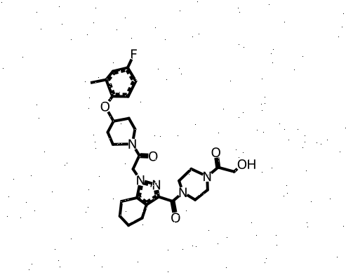 Cc1cc(F)ccc1OC1CCN(C(=O)Cn2nc(C(=O)N3CCN(C(=O)CO)CC3)c3c2CCCC3)CC1